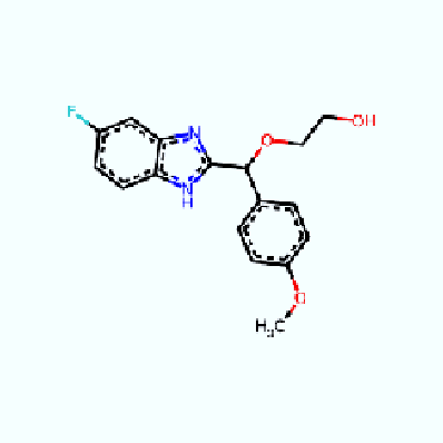 COc1ccc(C(OCCO)c2nc3cc(F)ccc3[nH]2)cc1